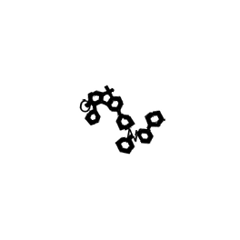 CC1(C)c2ccc(-c3ccc(N(c4ccccc4)c4cccc(-c5ccccc5)c4)cc3)cc2-c2c1ccc1oc3ccccc3c21